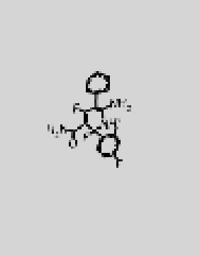 NC(=O)C1=C(F)C(c2ccccc2)=C(N)NC1(F)c1ccc(F)cc1F